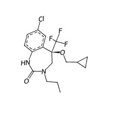 CCCN1C[C@@](OCC2CC2)(C(F)(F)F)c2cc(Cl)ccc2NC1=O